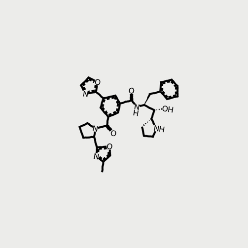 Cc1coc(C2CCCN2C(=O)c2cc(C(=O)N[C@@H](Cc3ccccc3)[C@H](O)[C@H]3CCCN3)cc(-c3ncco3)c2)n1